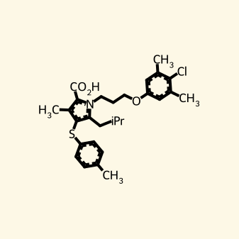 Cc1ccc(Sc2c(C)c(C(=O)O)n(CCCOc3cc(C)c(Cl)c(C)c3)c2CC(C)C)cc1